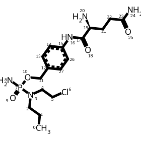 CCCN(CCCl)P(N)(=O)OCc1ccc(NC(=O)[C@@H](N)CCC(N)=O)cc1